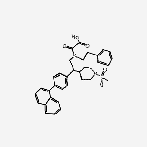 CS(=O)(=O)N1CCC(C(CN(CCc2ccccc2)C(=O)C(=O)O)c2ccc(-c3cccc4ccccc34)cc2)CC1